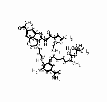 CCn1nc(C)cc1C(=O)Nc1nc2cc(C(N)=O)cc3c2n1[C@@H](CCCNc1c(N)cc(C(N)=O)cc1OCCCCN(C)C(=O)OC(C)(C)C)CO3